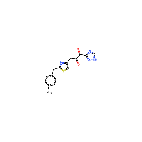 Cc1ccc(Cc2nc(CC(=O)C(=O)c3nc[nH]n3)cs2)cc1